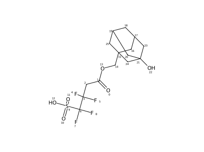 O=C(CC(F)(F)C(F)(F)S(=O)(=O)O)OCC12CC3CC(CC(O)(C3)C1)C2